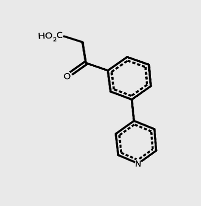 O=C(O)CC(=O)c1cccc(-c2ccncc2)c1